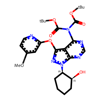 COc1ccnc(Oc2nn([C@@H]3CCCC[C@@H]3O)c3ncnc(N(C(=O)OC(C)(C)C)C(=O)OC(C)(C)C)c23)c1